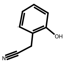 N#CCc1[c]cccc1O